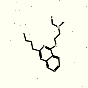 CCCCc1cc2ccccc2c(OCCN(C)CF)n1